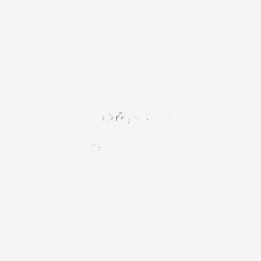 C[Si](C)(O[Si](C)(C)c1cccc(CC(=O)OCc2ccccc2)c1)c1cccc(CC(=O)OCc2ccccc2)c1